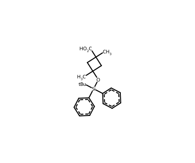 CC1(O[Si](c2ccccc2)(c2ccccc2)C(C)(C)C)CC(C)(C(=O)O)C1